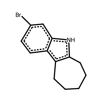 Brc1ccc2c3c([nH]c2c1)CCCCC3